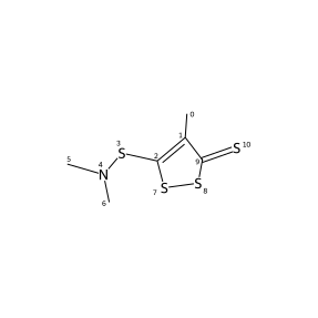 Cc1c(SN(C)C)ssc1=S